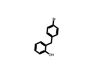 Oc1ccccc1Cc1ccc(Br)cc1